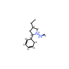 C=NN1CC(CC)CC1C1C=CC=CC1